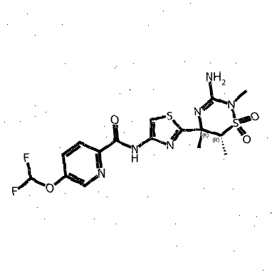 C[C@@H]1[C@](C)(c2nc(NC(=O)c3ccc(OC(F)F)cn3)cs2)N=C(N)N(C)S1(=O)=O